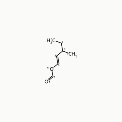 CCC(C)C=COC=O